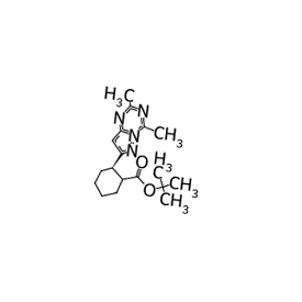 Cc1nc(C)n2nc([C@@H]3CCCCC3C(=O)OC(C)(C)C)cc2n1